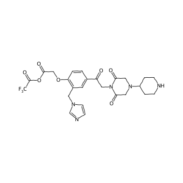 O=C(COc1ccc(C(=O)CN2C(=O)CN(C3CCNCC3)CC2=O)cc1Cn1ccnc1)OC(=O)C(F)(F)F